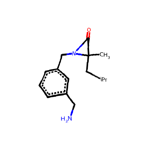 CC(C)CC1(C)C(=O)N1Cc1cccc(CN)c1